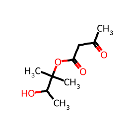 CC(=O)CC(=O)OC(C)(C)C(C)O